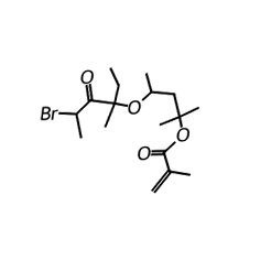 C=C(C)C(=O)OC(C)(C)CC(C)OC(C)(CC)C(=O)C(C)Br